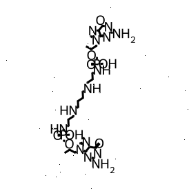 CC(CN1C=NC2C(=O)N=C(N)N=C21)OCP(=O)(O)NCCCNCCCCNCCCNP(=O)(O)COC(C)CN1C=NC2C(=O)N=C(N)N=C21